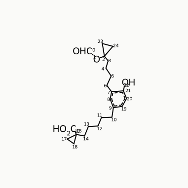 O=COC1(CCCCc2cc(CCCCCC3(C(=O)O)CC3)ccc2O)CC1